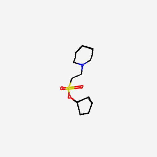 O=S(=O)(CCN1CCCCC1)OC1CCCC1